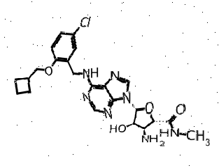 CNC(=O)[C@H]1O[C@@H](n2cnc3c(NCc4cc(Cl)ccc4OCC4CCC4)ncnc32)[C@H](O)[C@@H]1N